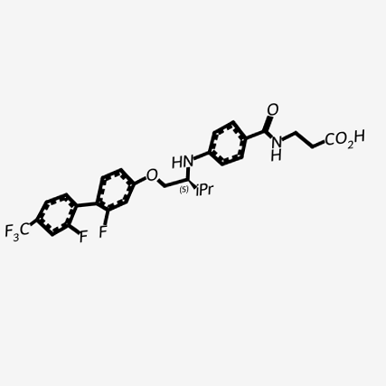 CC(C)[C@@H](COc1ccc(-c2ccc(C(F)(F)F)cc2F)c(F)c1)Nc1ccc(C(=O)NCCC(=O)O)cc1